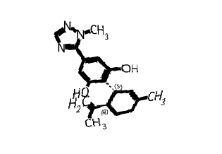 C=C(C)[C@@H]1CCC(C)=C[C@H]1c1c(O)cc(-c2ncnn2C)cc1O